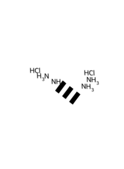 C=C.C=C.C=C.Cl.Cl.N.N.N.N